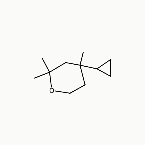 CC1(C)CC(C)(C2CC2)CCO1